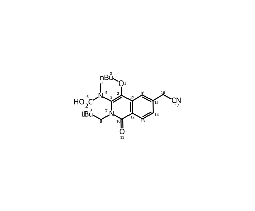 CCCCOc1c(N(C)C(=O)O)n(CC(C)(C)C)c(=O)c2ccc(CC#N)cc12